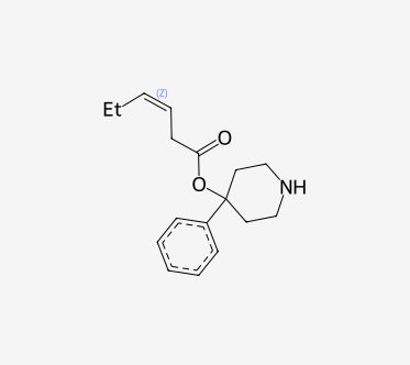 CC/C=C\CC(=O)OC1(c2ccccc2)CCNCC1